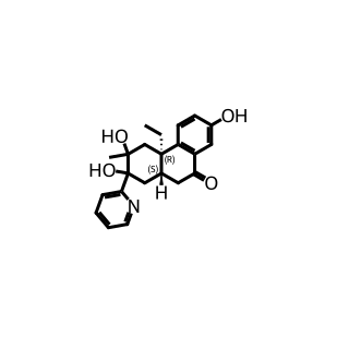 CC[C@@]12CC(C)(O)C(O)(c3ccccn3)C[C@H]1CC(=O)c1cc(O)ccc12